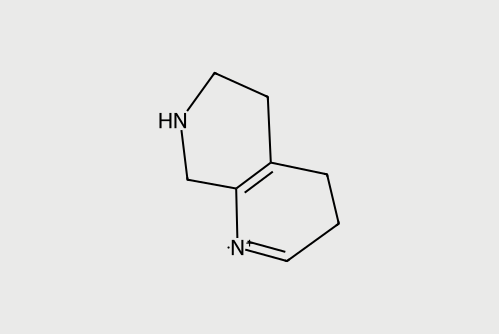 C1=[N+]C2=C(CC1)CCNC2